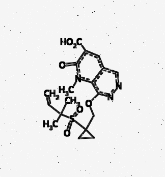 C=CC(C)(C)S(=O)(=O)C1(COc2nncc3cc(C(=O)O)c(=O)n(C)c23)CC1